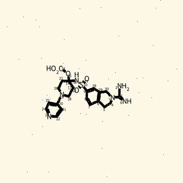 N=C(N)N1CCc2ccc(S(=O)(=O)NC3(OC(=O)O)CCN(c4ccncc4)CC3)cc2C1